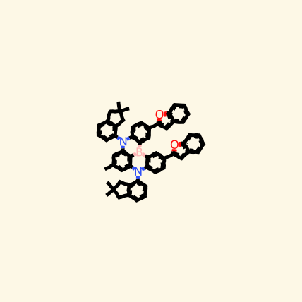 Cc1cc2c3c(c1)N(c1cccc4c1CC(C)(C)C4)c1ccc(-c4cc5ccccc5o4)cc1B3c1cc(-c3cc4ccccc4o3)ccc1N2c1cccc2c1CC(C)(C)C2